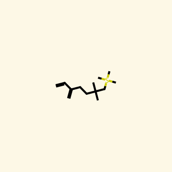 C=CC(=C)CCC(C)(C)CS(C)(C)C